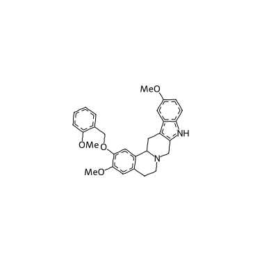 COc1ccc2[nH]c3c(c2c1)CC1c2cc(OCc4ccccc4OC)c(OC)cc2CCN1C3